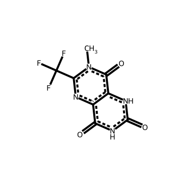 Cn1c(C(F)(F)F)nc2c(=O)[nH]c(=O)[nH]c2c1=O